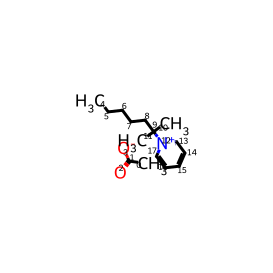 CC(=O)[O-].CCCCCC(C)(C)[n+]1ccccc1